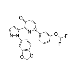 O=c1ccn(-c2cccc(OC(F)F)c2)nc1-c1ccnn1-c1ccc2c(c1)OCO2